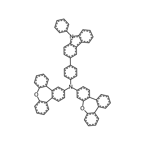 c1ccc(-n2c3ccccc3c3cc(-c4ccc(N(c5ccc6c(c5)Oc5ccccc5-c5ccccc5-6)c5ccc6c(c5)-c5ccccc5Oc5ccccc5-6)cc4)ccc32)cc1